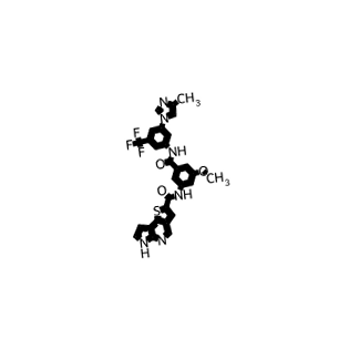 COc1cc(NC(=O)c2cc3cnc4[nH]ccc4c3s2)cc(C(=O)Nc2cc(-n3cnc(C)c3)cc(C(F)(F)F)c2)c1